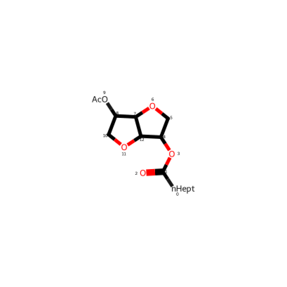 CCCCCCCC(=O)OC1COC2C(OC(C)=O)COC12